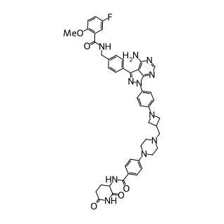 COc1ccc(F)cc1C(=O)NCc1ccc(-c2nn(-c3ccc(N4CC(CN5CCN(c6ccc(C(=O)NC7CCC(=O)NC7=O)cc6)CC5)C4)cc3)c3ncnc(N)c23)cc1